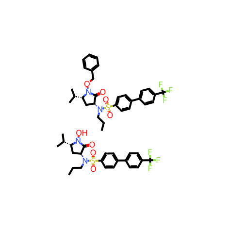 CCCN([C@@H]1C[C@H](C(C)C)N(O)C1=O)S(=O)(=O)c1ccc(-c2ccc(C(F)(F)F)cc2)cc1.CCCN([C@@H]1C[C@H](C(C)C)N(OCc2ccccc2)C1=O)S(=O)(=O)c1ccc(-c2ccc(C(F)(F)F)cc2)cc1